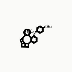 CN(c1ccc(C(C)(C)C)cc1)c1cccc2c1-c1ccccc1C1CC3CC4CC2C34C1